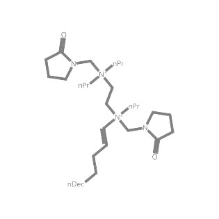 CCCCCCCCCCCCC=C[N+](CCC)(CC[N+](CCC)(CCC)CN1CCCC1=O)CN1CCCC1=O